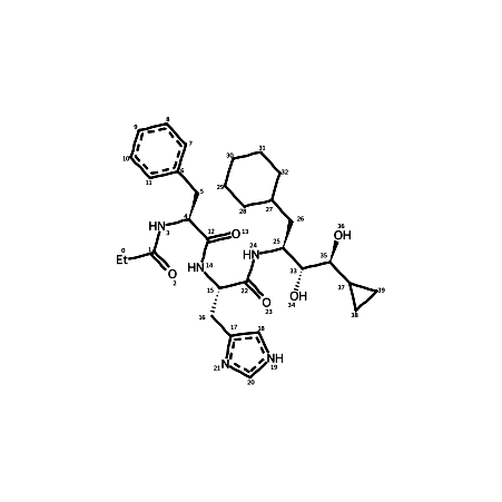 CCC(=O)N[C@@H](Cc1ccccc1)C(=O)N[C@@H](Cc1c[nH]cn1)C(=O)N[C@@H](CC1CCCCC1)[C@@H](O)[C@@H](O)C1CC1